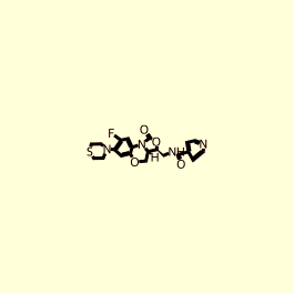 O=C(NC[C@@H]1OC(=O)N2c3cc(F)c(N4CCSCC4)cc3OC[C@@H]12)c1ccncc1